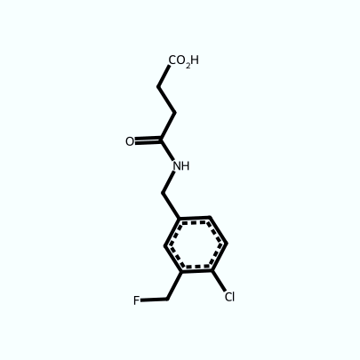 O=C(O)CCC(=O)NCc1ccc(Cl)c(CF)c1